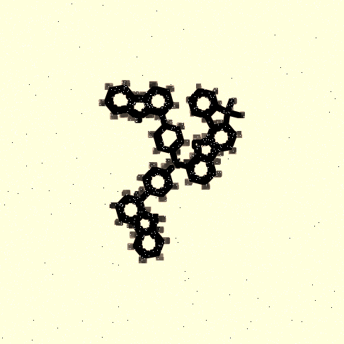 CC1(C)c2ccccc2-c2c1ccc1c2oc2c(N(C3=CCC(c4cccc5c4sc4ccccc45)C=C3)c3ccc(-c4cccc5c4sc4ccccc45)cc3)cccc21